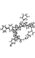 O=C1COc2ccc(cc2)C[C@@H](C(=O)O)NC(=O)[C@@H](CCc2ccccc2)NC(=O)[C@H](Cc2ccc(-c3ccccc3)cc2)NC(=O)[C@@H](Cc2ccc(F)cc2)N1